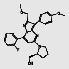 COCc1nn2c(-c3ccccc3F)cc(N3CCC[C@H]3CO)nc2c1-c1ccc(OC)cc1